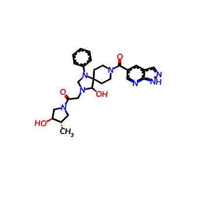 C[C@H]1CN(C(=O)CN2CN(c3ccccc3)C3(CCN(C(=O)c4cnc5[nH]ncc5c4)CC3)C2O)C[C@@H]1O